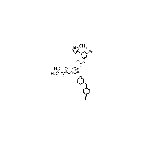 CC(C)NC(=O)CN1CC[C@@H](NC(=O)Nc2cc(Br)cc(-c3nnnn3C)c2)[C@H](CN2CCCC(Cc3ccc(F)cc3)C2)C1